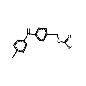 Cc1ccc(Nc2ccc(COC(=O)C(C)C)cc2)cc1